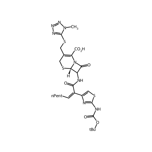 CCCCC/C=C(\C(=O)NC1C(=O)N2C(C(=O)O)=C(CSc3nnnn3C)CS[C@@H]12)c1csc(NC(=O)OC(C)(C)C)n1